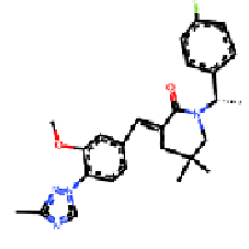 COc1cc(C=C2CC(C)(C)CN([C@@H](C)c3ccc(F)cc3)C2=O)ccc1-n1cnc(C)n1